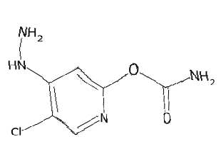 NNc1cc(OC(N)=O)ncc1Cl